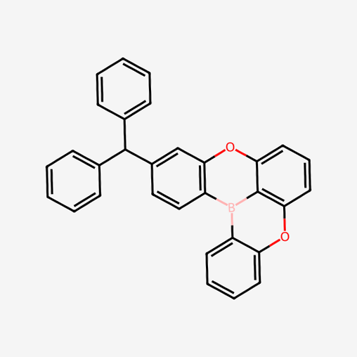 c1ccc(C(c2ccccc2)c2ccc3c(c2)Oc2cccc4c2B3c2ccccc2O4)cc1